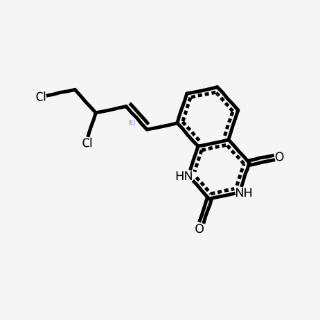 O=c1[nH]c(=O)c2cccc(/C=C/C(Cl)CCl)c2[nH]1